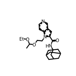 CCOC(C)OCCn1c(C(=O)NC23CC4CC(CC(C4)C2)C3)cc2cnccc21